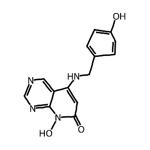 O=c1cc(NCc2ccc(O)cc2)c2cncnc2n1O